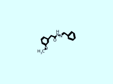 COc1cccc(CC(=O)N/N=C/c2[c]cccc2)c1